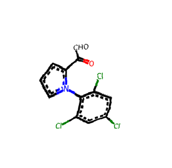 O=CC(=O)c1cccn1-c1c(Cl)cc(Cl)cc1Cl